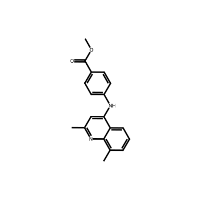 COC(=O)c1ccc(Nc2cc(C)nc3c(C)cccc23)cc1